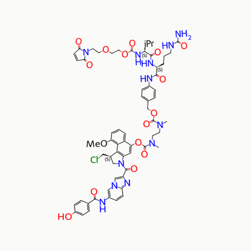 COc1cccc2c(OC(=O)N(C)CCN(C)C(=O)OCc3ccc(NC(=O)[C@H](CCCNC(N)=O)NC(=O)[C@@H](NC(=O)OCCOCCN4C(=O)C=CC4=O)C(C)C)cc3)cc3c(c12)[C@H](CCl)CN3C(=O)c1cn2cc(NC(=O)c3ccc(O)cc3)ccc2n1